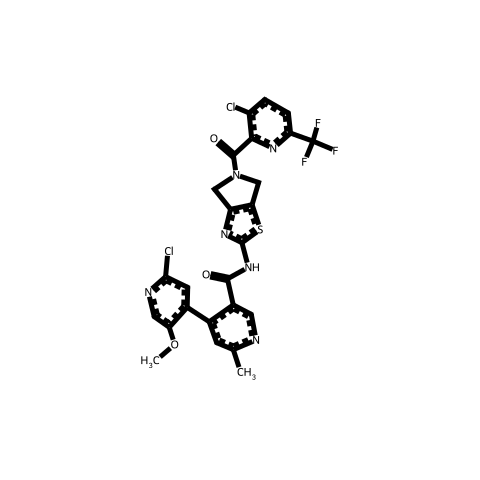 COc1cnc(Cl)cc1-c1cc(C)ncc1C(=O)Nc1nc2c(s1)CN(C(=O)c1nc(C(F)(F)F)ccc1Cl)C2